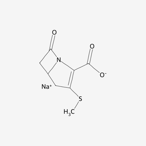 CSC1=C(C(=O)[O-])N2C(=O)CC2C1.[Na+]